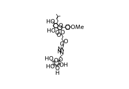 COc1ccc(-c2oc3c(CC=C(C)C)c(O)cc(O)c3c(=O)c2OC(=O)CCC(=O)OCc2cn(CCO[C@@H]3O[C@H](CO)[C@@H](O)[C@H](O)[C@H]3O)nn2)cc1